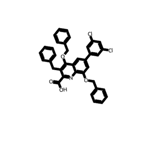 O=C(O)c1nc2c(OCc3ccccc3)cc(-c3cc(Cl)cc(Cl)c3)cc2c(OCc2ccccc2)c1Cc1ccccc1